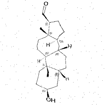 C[C@]12CC[C@H](O)C[C@H]1CC[C@@H]1[C@@H]2CC[C@]2(C)[C@@H](C=O)CC[C@@H]12